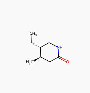 CC[C@@H]1CNC(=O)C[C@H]1C